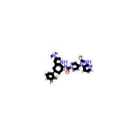 CN(C)c1cnc2c(c1)C[C@H](c1cccc(F)c1F)CC[C@H]2NC(=O)N1CCC(n2c(=O)[nH]c3ncccc32)CC1